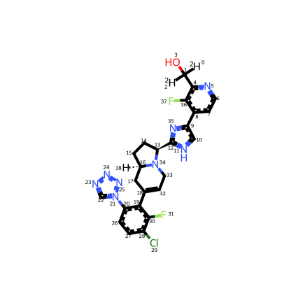 [2H]C([2H])(O)c1nccc(-c2c[nH]c([C@@H]3CC[C@@H]4CC(c5c(-n6cnnn6)ccc(Cl)c5F)=CCN43)n2)c1F